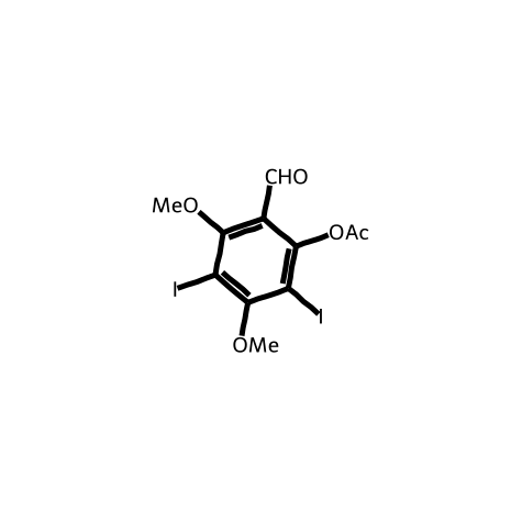 COc1c(I)c(OC)c(C=O)c(OC(C)=O)c1I